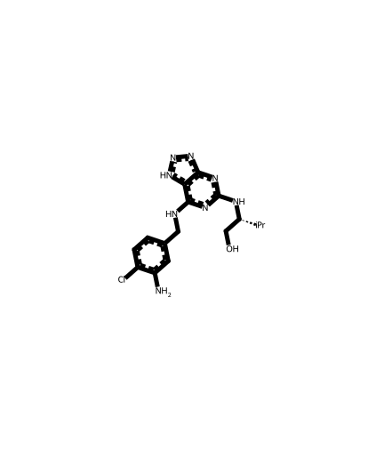 CC(C)[C@H](CO)Nc1nc(NCc2ccc(Cl)c(N)c2)c2[nH]nnc2n1